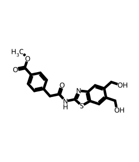 COC(=O)c1ccc(CC(=O)Nc2nc3cc(CO)c(CO)cc3s2)cc1